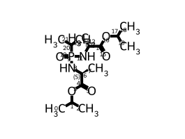 CC(C)OC(=O)[C@H](C)NP(=O)(N[C@@H](C)C(=O)OC(C)C)C(C)C